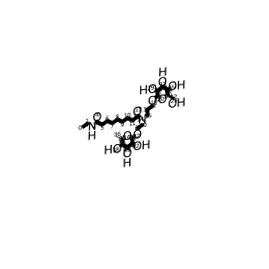 CCNC(=O)CCCCCCCC(=O)N(CCCO[C@H]1O[C@H](CO)[C@@H](O)[C@H](O)[C@@H]1O)CCO[C@@H]1O[C@@H](C)[C@@H](O)[C@@H](O)[C@@H]1O